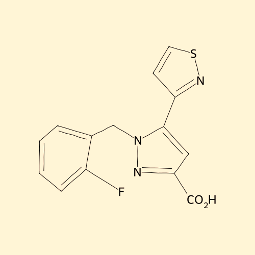 O=C(O)c1cc(-c2ccsn2)n(Cc2ccccc2F)n1